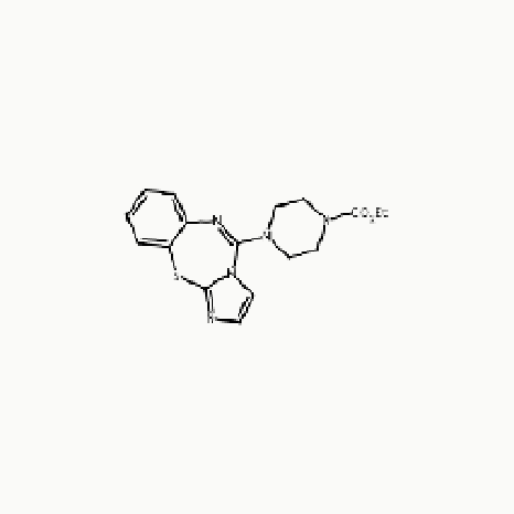 CCOC(=O)N1CCN(C2=Nc3ccccc3Sc3nccn32)CC1